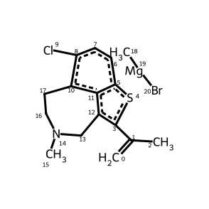 C=C(C)c1sc2ccc(Cl)c3c2c1CN(C)CC3.[CH3][Mg][Br]